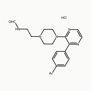 CC(=O)c1ccc(-c2nccnc2N2CCN(CCNC=O)CC2)cc1.Cl